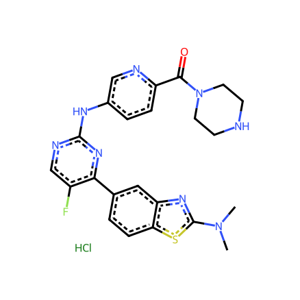 CN(C)c1nc2cc(-c3nc(Nc4ccc(C(=O)N5CCNCC5)nc4)ncc3F)ccc2s1.Cl